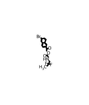 CCC(F)(F)CNCC(=O)OCC(=O)c1ccc2cc(Br)ccc2c1